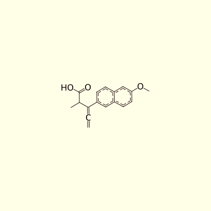 C=C=C(c1ccc2cc(OC)ccc2c1)C(C)C(=O)O